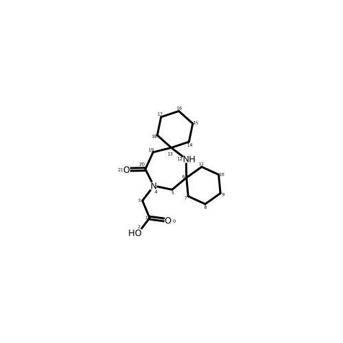 O=C(O)CN1CC2(CCCCC2)NC2(CCCCC2)CC1=O